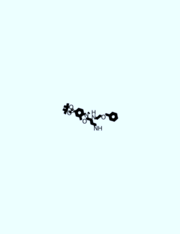 Cc1cc(B2OC(C)(C)C(C)(C)O2)ccc1N(C)C(=O)/C(=C/C=N)NCCOCc1ccccc1